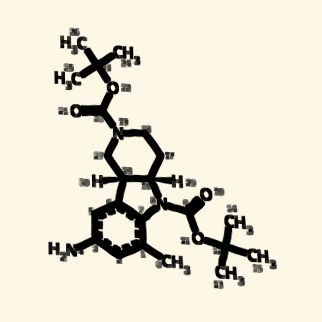 Cc1cc(N)cc2c1N(C(=O)OC(C)(C)C)[C@H]1CCN(C(=O)OC(C)(C)C)C[C@@H]21